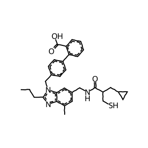 CCCc1nc2c(C)cc(CNC(=O)C(CS)CC3CC3)cc2n1Cc1ccc(-c2ccccc2C(=O)O)cc1